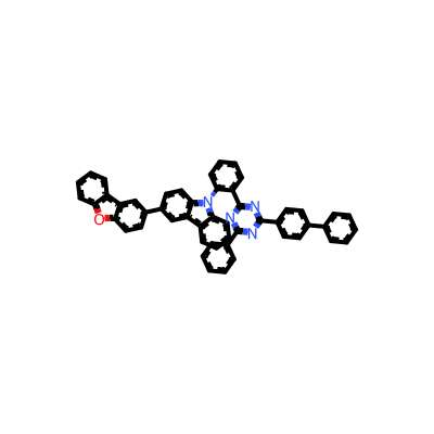 c1ccc(-c2ccc(-c3nc(-c4ccccc4)nc(-c4ccccc4-n4c5ccccc5c5cc(-c6ccc7oc8ccccc8c7c6)ccc54)n3)cc2)cc1